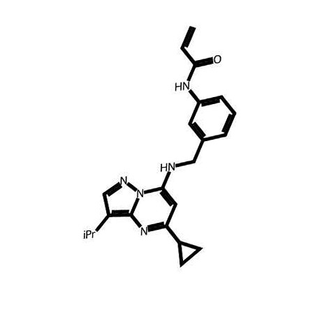 C=CC(=O)Nc1cccc(CNc2cc(C3CC3)nc3c(C(C)C)cnn23)c1